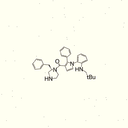 CC(C)(C)CNc1ccccc1-n1ccc(C(=O)N2CCNC[C@H]2Cc2ccccc2)c1-c1ccccc1